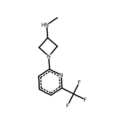 CNC1CN(c2cccc(C(F)(F)F)n2)C1